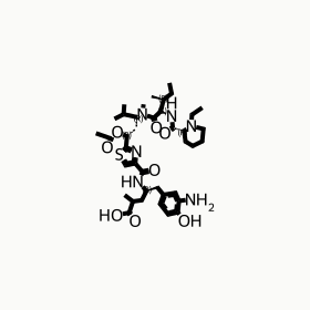 CC[C@H](C)[C@H](NC(=O)[C@H]1CCCCN1CC)C(=O)N(C)[C@H](C[C@@H](OC(C)=O)c1nc(C(=O)N[C@@H](Cc2ccc(O)c(N)c2)CC(C)C(=O)O)cs1)C(C)C